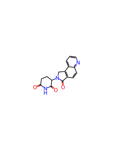 O=C1CCC(N2Cc3c(ccc4ncccc34)C2=O)C(=O)N1